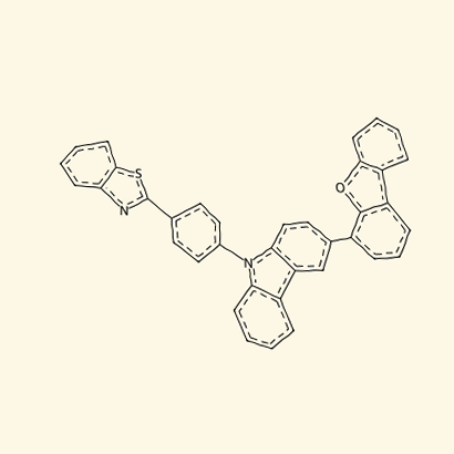 c1ccc2sc(-c3ccc(-n4c5ccccc5c5cc(-c6cccc7c6oc6ccccc67)ccc54)cc3)nc2c1